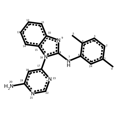 Cc1ccc(C)c(Nc2nc3ccccc3n2-c2cc(N)ncn2)c1